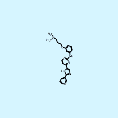 CN(C)CCCOc1cccc(Nc2nccc(-c3cnc(-c4cccnc4)[nH]3)n2)c1